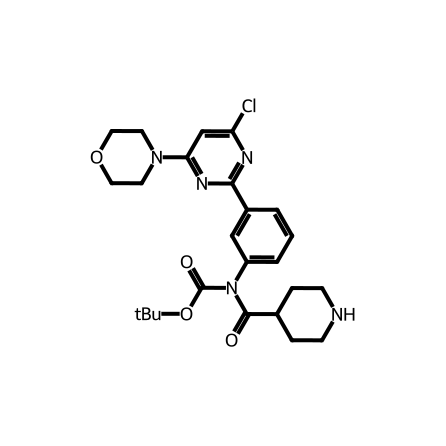 CC(C)(C)OC(=O)N(C(=O)C1CCNCC1)c1cccc(-c2nc(Cl)cc(N3CCOCC3)n2)c1